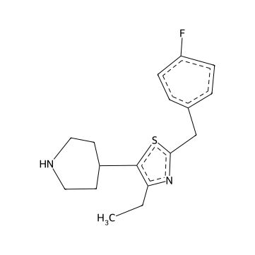 CCc1nc(Cc2ccc(F)cc2)sc1C1CCNCC1